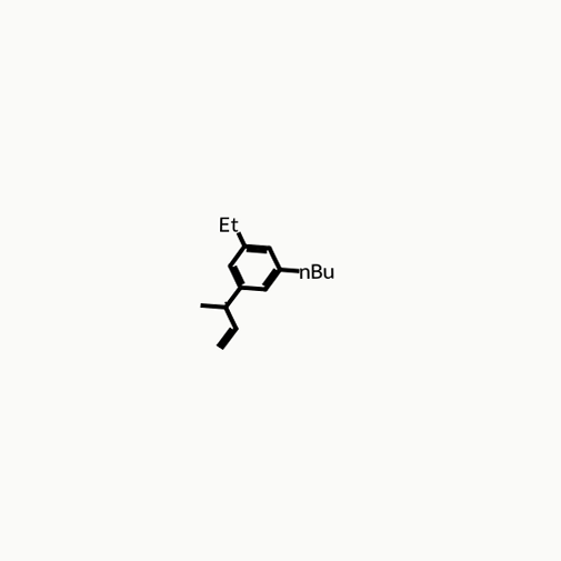 C=C[C](C)c1cc(CC)cc(CCCC)c1